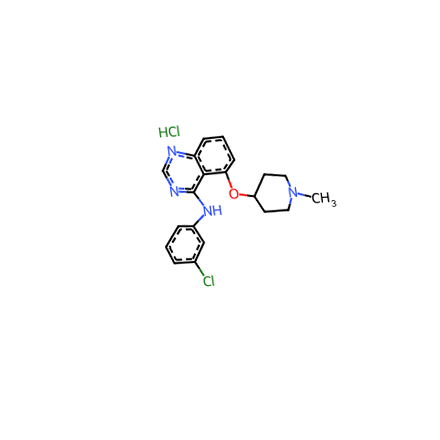 CN1CCC(Oc2cccc3ncnc(Nc4cccc(Cl)c4)c23)CC1.Cl